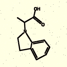 CC(C(=O)O)N1CCc2ccccc21